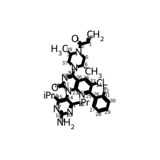 C=CC(=O)N1C[C@H](C)N(c2nc(=O)n(-c3c(C(C)C)nc(N)nc3C(C)C)c3nc(-c4ccccc4F)c(Cl)cc23)C[C@H]1C